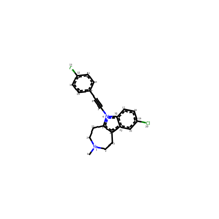 CN1CCc2c(n(C#Cc3ccc(F)cc3)c3ccc(Cl)cc23)CC1